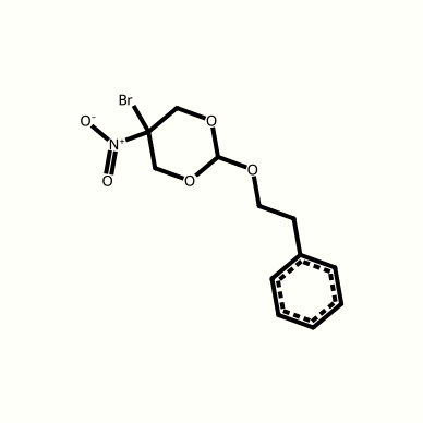 O=[N+]([O-])C1(Br)COC(OCCc2ccccc2)OC1